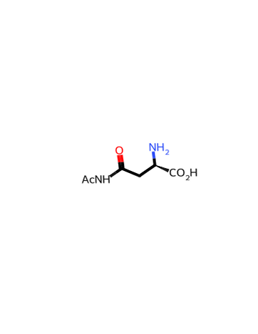 CC(=O)NC(=O)C[C@@H](N)C(=O)O